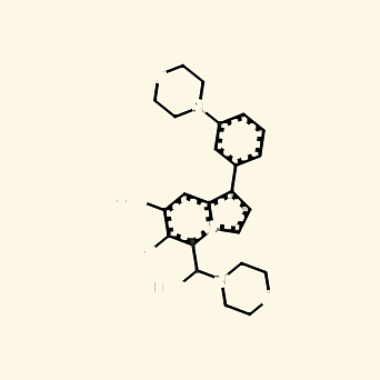 Cc1c(C(=O)O)cc2c(-c3cccc(N4CCOCC4)c3)ccn2c1C(C)N1CCOCC1